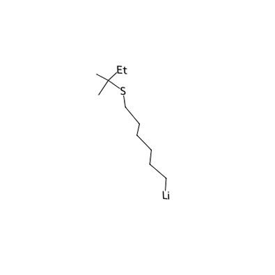 [Li][CH2]CCCCCSC(C)(C)CC